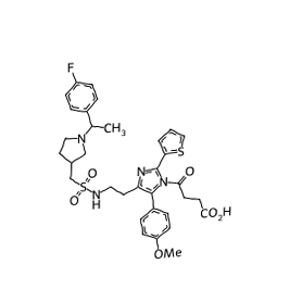 COc1ccc(-c2c(CCNS(=O)(=O)CC3CCN(C(C)c4ccc(F)cc4)C3)nc(-c3cccs3)n2C(=O)CCC(=O)O)cc1